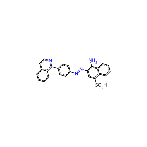 Nc1c(N=Nc2ccc(-c3nccc4ccccc34)cc2)cc(S(=O)(=O)O)c2ccccc12